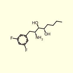 CCCC[C@@H](O)[C@H](O)[C@@H](N)Cc1cc(F)cc(F)c1